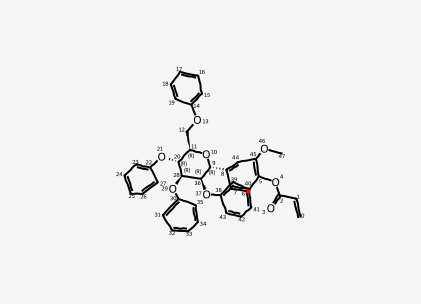 C=CC(=O)Oc1ccc([C@H]2O[C@H](COc3ccccc3)[C@@H](Oc3ccccc3)[C@H](Oc3ccccc3)[C@@H]2Oc2ccccc2)cc1OC